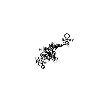 CCCC(CC)(C1CCCCCCCC1)C1CC(=O)N(CCCCCC(NC(C(=O)NC(CCCNC(N)=O)C(=O)Nc2ccc(COC(=O)N(C)C(C(=O)NC(C(=O)N(C)C(C(C)CC)C(CC(=O)N3CCCC3C(OC)C(C)C(=O)NC(C)C(O)c3ccccc3)OC)C(C)C)C(C)C)cc2)C(C)C)C(F)(F)F)C1=O